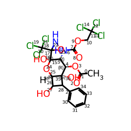 CC(=O)O[C@@H]1[C@@H](NC(=O)OCC(Cl)(Cl)Cl)[C@](O)(C2(C(Cl)(Cl)Cl)NO2)O[C@@H]2C(O)C(c3ccccc3)[C@@]21O